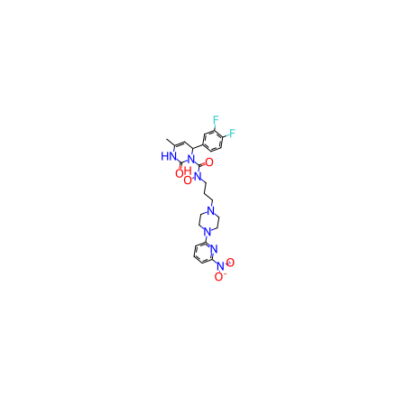 CC1=CC(c2ccc(F)c(F)c2)N(C(=O)N(O)CCCN2CCN(c3cccc([N+](=O)[O-])n3)CC2)C(=O)N1